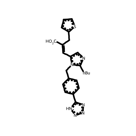 CCCCc1ncc(/C=C(\Cc2cccs2)C(=O)O)n1Cc1ccc(-c2nnn[nH]2)cc1